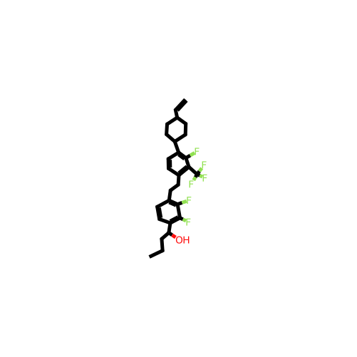 C=CC1CCC(c2ccc(CCc3ccc(C(O)CCC)c(F)c3F)c(C(F)(F)F)c2F)CC1